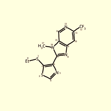 CCSc1scnc1-c1nc2cc(C(F)(F)F)ncc2n1C